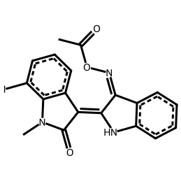 CC(=O)O/N=C1\C(=C2\C(=O)N(C)c3c(I)cccc32)Nc2ccccc21